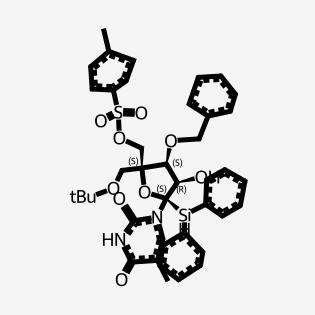 Cc1ccc(S(=O)(=O)OC[C@]2(COC(C)(C)C)O[C@](n3cc(C)c(=O)[nH]c3=O)([SiH](c3ccccc3)c3ccccc3)[C@H](O)[C@@H]2OCc2ccccc2)cc1